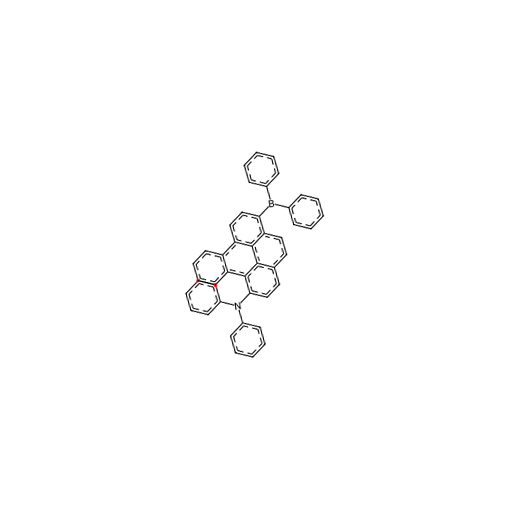 c1ccc(B(c2ccccc2)c2ccc3c4ccccc4c4c(N(c5ccccc5)c5ccccc5)ccc5ccc2c3c54)cc1